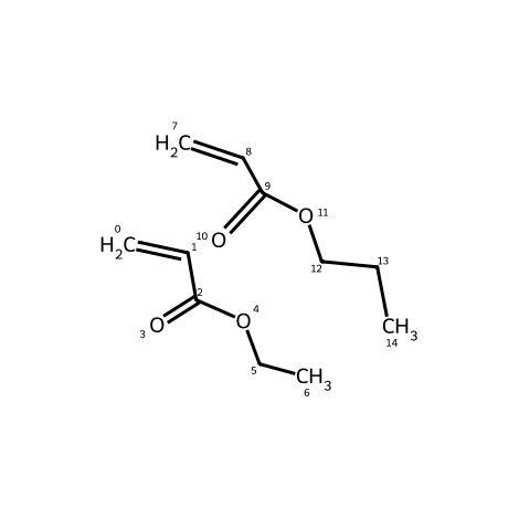 C=CC(=O)OCC.C=CC(=O)OCCC